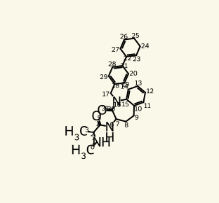 CN[C@@H](C)C(=O)NC1CCc2ccccc2N(Cc2ccc(C3=CCCC=C3)cc2)C1=O